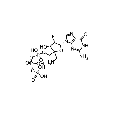 NC[C@]1(COP(=O)(O)OP(=O)(O)OP(=O)(O)O)O[C@@H](n2cnc3c(=O)[nH]c(N)nc32)[C@H](F)[C@@H]1O